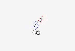 NC1c2ncn([C@@H]3O[C@H](CO)C(O)C3O)c2N=CN1C1CCCc2ccccc21